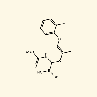 COC(=O)NC(S/C(C)=C/Oc1ccccc1C)B(O)O